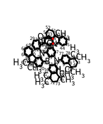 CC1(C)CCC(C)(C)c2cc(N3c4cc5c(cc4B4c6ccc7c(c6N(c6cccc8oc9ccccc9c68)c6cc(N8c9ccccc9C9(C)CCCCC89C)cc3c64)-c3ccccc3C7(C)C)C(C)(C)CCC5(C)C)ccc21